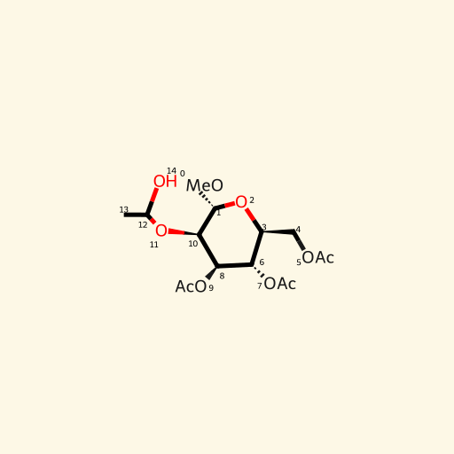 CO[C@@H]1O[C@@H](COC(C)=O)[C@H](OC(C)=O)[C@@H](OC(C)=O)[C@H]1OC(C)O